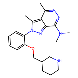 Cc1nnc(N(C)C)c2nn(-c3ccccc3OCC3CCCNC3)c(C)c12